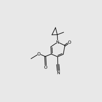 COC(=O)c1cn(C2(C)CC2)c(=O)cc1C#N